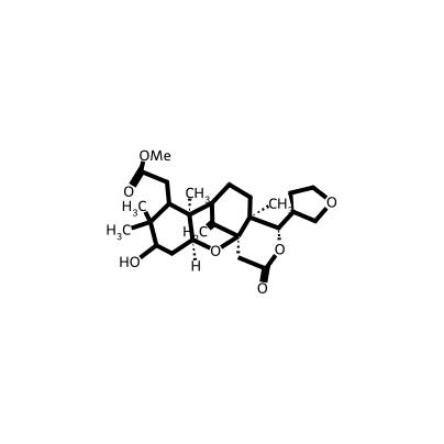 C=C1C2CC[C@@]3(C)[C@H]([C@H]4CCOC4)OC(=O)C[C@]13O[C@H]1CC(O)C(C)(C)C(CC(=O)OC)[C@@]21C